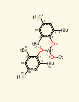 CC[O][Al]([O]c1c(C(C)(C)C)cc(C)cc1C(C)(C)C)[O]c1c(C(C)(C)C)cc(C)cc1C(C)(C)C